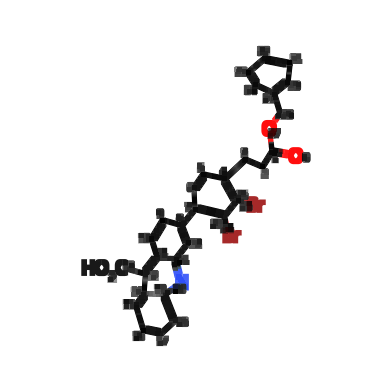 O=C(CCc1ccc(-c2ccc3c(C(=O)O)c4ccccc4nc3c2)c(Br)c1Br)OCc1ccccc1